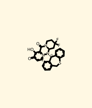 O=C1c2c(O)c(=O)ccn2N([C@@H]2c3ccccc3SCc3cccc(F)c32)C2CC(F)(F)CCN12